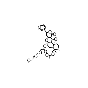 COCCOCOCC(=O)O[C@H]1CC2C(C)(COC(C)=O)[C@@H](C)CC[C@]2(C)C2[C@@H](O)c3c(cc(-c4cccnc4)oc3=O)O[C@@]21C